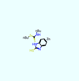 CCCCNC(=S)SCCCC.Sc1nc2ccccc2[nH]1.[Zn]